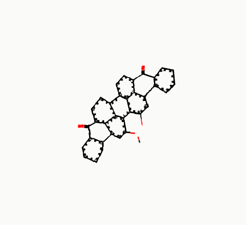 CC(C)Oc1cc2c3c(ccc4c5ccc6c7c(cc(O)c(c1c34)c75)-c1ccccc1C6=O)C(=O)c1ccccc1-2